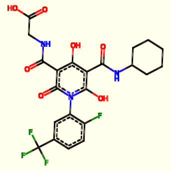 O=C(O)CNC(=O)c1c(O)c(C(=O)NC2CCCCC2)c(O)n(-c2cc(C(F)(F)F)ccc2F)c1=O